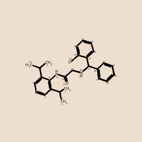 CC(C)c1cccc(C(C)C)c1NC(=O)CNC(c1ccccc1)c1ccccc1Cl